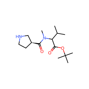 CC(C)C(C(=O)OC(C)(C)C)N(C)C(=O)[C@H]1CCNC1